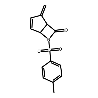 C=C1C=CC2C1C(=O)N2S(=O)(=O)c1ccc(C)cc1